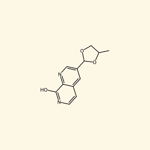 CC1COC(c2cnc3c(O)nccc3c2)O1